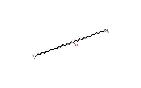 CCCCCCCCCCCCCCCCC[CH]C(O)CCCCCCCCCCCCCCC